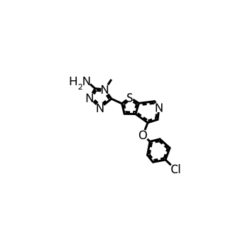 Cn1c(N)nnc1-c1cc2c(Oc3ccc(Cl)cc3)cncc2s1